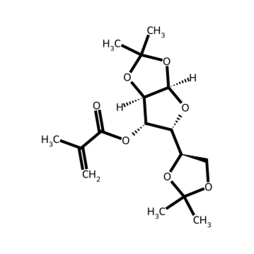 C=C(C)C(=O)O[C@@H]1[C@H]2OC(C)(C)O[C@H]2O[C@@H]1[C@H]1COC(C)(C)O1